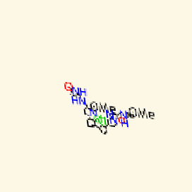 COc1nc(-c2cccc(-c3cccc(-c4ccn5c(=O)c(CNC[C@@H](C)OC)cnc5c4)c3Cl)c2Cl)ccc1CNC[C@H]1CCC(=O)N1